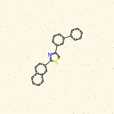 c1ccc(-c2cccc(-c3csc(-c4ccc5ccccc5c4)n3)c2)cc1